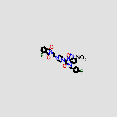 O=C1c2cccc(F)c2C(=O)N1CCN1CCN(CC(=O)N(Cc2ccc(F)cc2)c2ccc([N+](=O)[O-])c3nonc23)CC1